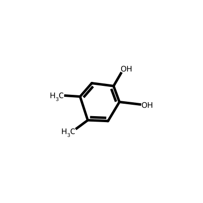 Cc1cc(O)c(O)cc1C